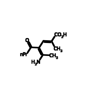 CCCC(=O)C(C=C(C)C(=O)O)=C(C)N